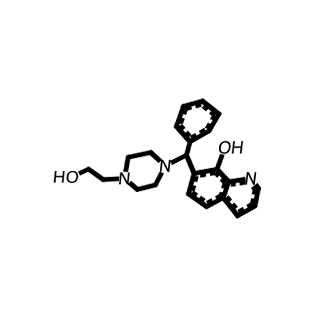 OCCN1CCN(C(c2ccccc2)c2ccc3cccnc3c2O)CC1